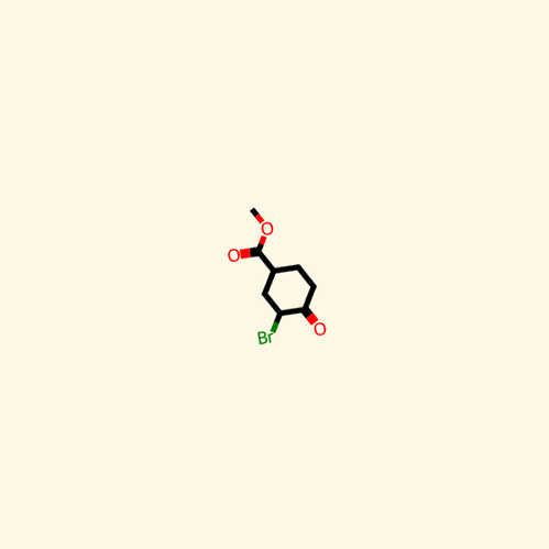 COC(=O)C1CCC(=O)C(Br)C1